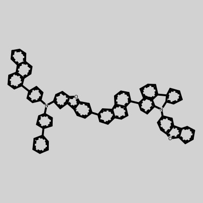 c1ccc(-c2ccc(N(c3ccc(-c4cccc5c4ccc4ccccc45)cc3)c3ccc4oc5cc(-c6ccc7ccc8c(-c9ccc(N(c%10ccc%11oc%12ccccc%12c%11c%10)c%10ccccc%10-c%10ccccc%10)cc9)cccc8c7c6)ccc5c4c3)cc2)cc1